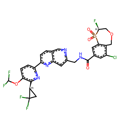 O=C(NCc1cc2nc(-c3ccc(OC(F)F)c([C@H]4CC4(F)F)n3)ccc2cn1)c1cc(Cl)c2c(c1)S(=O)(=O)[C@@H](F)COC2